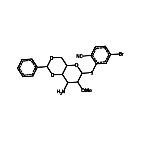 COC1C(Sc2cc(Br)ccc2C#N)OC2COC(c3ccccc3)OC2C1N